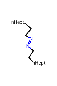 CCCCCCCCCN=NCCCCCCCCC